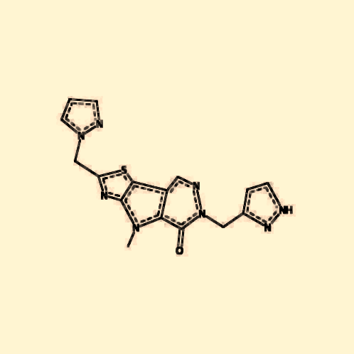 Cn1c2nc(Cn3cccn3)sc2c2cnn(Cc3cc[nH]n3)c(=O)c21